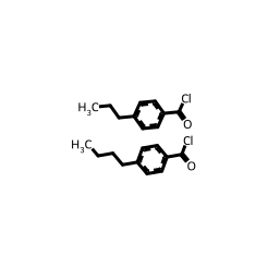 CCCCc1ccc(C(=O)Cl)cc1.CCCc1ccc(C(=O)Cl)cc1